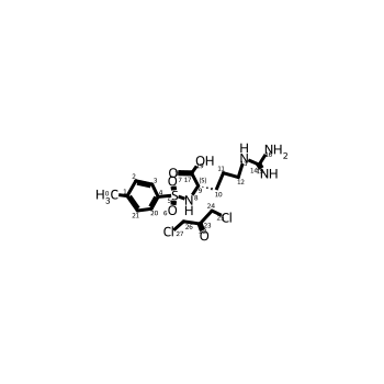 Cc1ccc(S(=O)(=O)N[C@@H](CCCNC(=N)N)C(=O)O)cc1.O=C(CCl)CCl